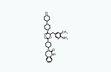 Cc1cc(CC(OC(=O)N2CCC(N3CCc4ccccc4NC3=O)CC2)C(=O)N2CCN(C3CCNCC3)CC2)cnc1N